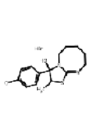 Br.CC1SC2=NCCCCCN2C1(O)c1ccc(Cl)cc1